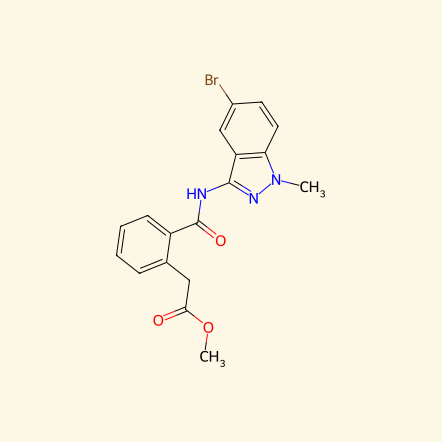 COC(=O)Cc1ccccc1C(=O)Nc1nn(C)c2ccc(Br)cc12